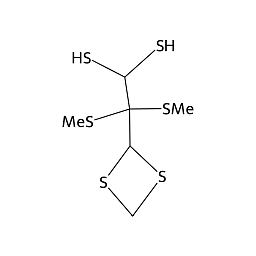 CSC(SC)(C(S)S)C1SCS1